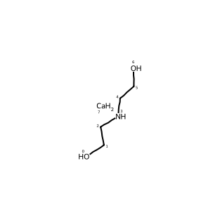 OCCNCCO.[CaH2]